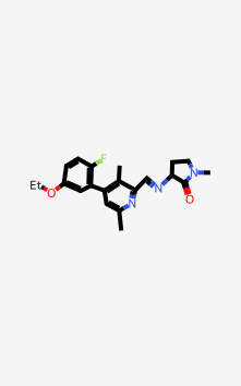 CCOc1ccc(F)c(-c2cc(C)nc(C=NC3CCN(C)C3=O)c2C)c1